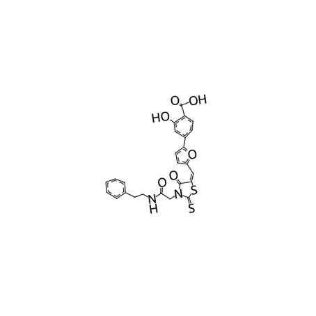 O=C(CN1C(=O)C(=Cc2ccc(-c3ccc(C(=O)O)c(O)c3)o2)SC1=S)NCCc1ccccc1